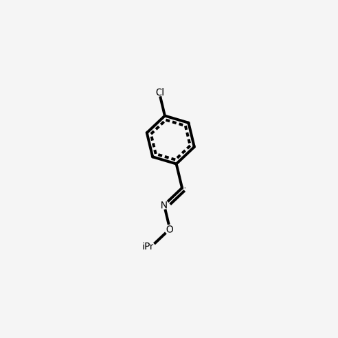 CC(C)O/N=[C]/c1ccc(Cl)cc1